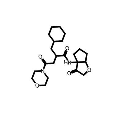 O=C(NC12CCCC1OCC2=O)C(CC(=O)N1CCOCC1)CC1CCCCC1